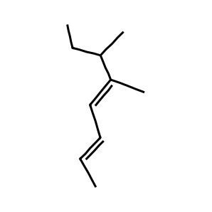 C/C=C/C=C(\C)C(C)CC